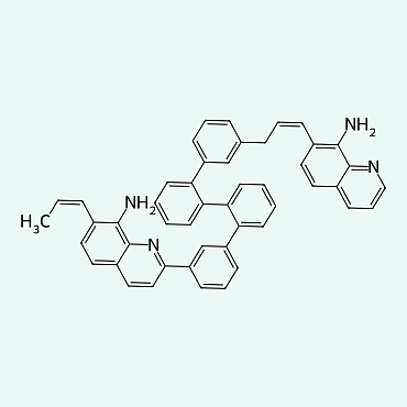 C/C=C\c1ccc2ccc(-c3cccc(-c4ccccc4-c4ccccc4-c4cccc(C/C=C\c5ccc6cccnc6c5N)c4)c3)nc2c1N